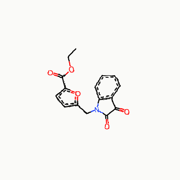 CCOC(=O)c1ccc(CN2C(=O)C(=O)c3ccccc32)o1